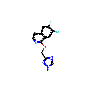 Fc1cc2ccnc(OCc3nc[nH]n3)c2cc1F